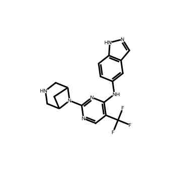 FC(F)(F)c1cnc(N2C3CNCC2C3)nc1Nc1ccc2[nH]ncc2c1